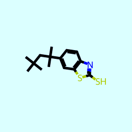 CC(C)(C)CC(C)(C)c1ccc2nc(S)sc2c1